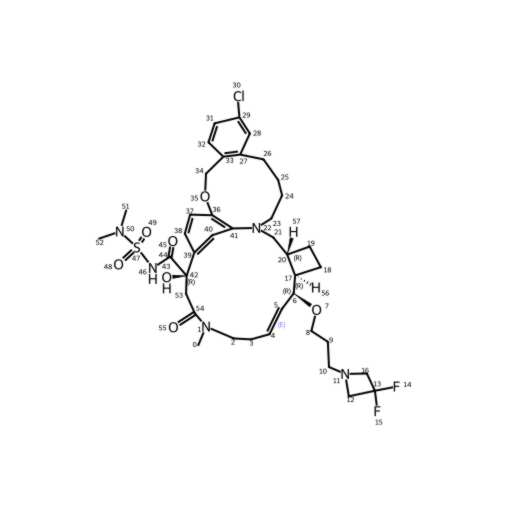 CN1CC/C=C/[C@H](OCCCN2CC(F)(F)C2)[C@@H]2CC[C@H]2CN2CCCCc3cc(Cl)ccc3COc3ccc(cc32)[C@@](O)(C(=O)NS(=O)(=O)N(C)C)CC1=O